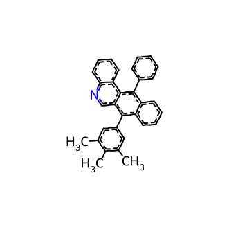 Cc1cc(-c2c3ccccc3c(-c3ccccc3)c3c2cnc2ccccc23)cc(C)c1C